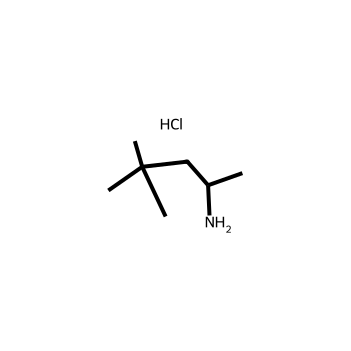 CC(N)CC(C)(C)C.Cl